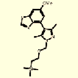 COc1cc(-c2c(C)nn(COCC[Si](C)(C)C)c2C)c2ncsc2c1